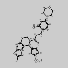 Cc1nn2c3c(nc2s1)CCN(C(=O)COc1ccc(N2CCOCC2)nc1Cl)C3c1csc(C(=O)O)c1